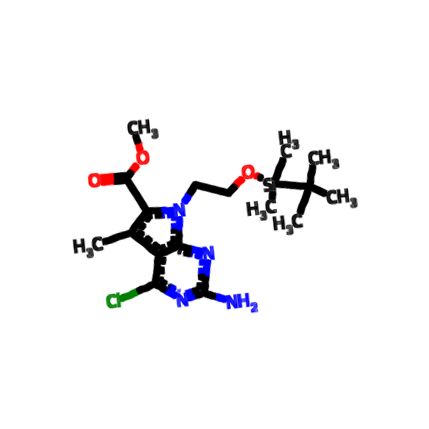 COC(=O)c1c(C)c2c(Cl)nc(N)nc2n1CCO[Si](C)(C)C(C)(C)C